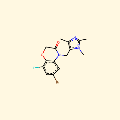 Cc1nc(C)n(C)c1CN1C(=O)COc2c(F)cc(Br)cc21